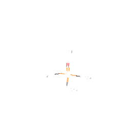 CCCP(=O)(OC)OC.[AlH3]